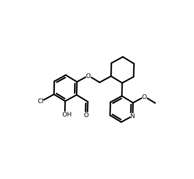 COc1ncccc1C1CCCCC1COc1ccc(Cl)c(O)c1C=O